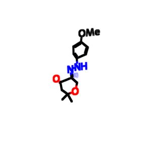 COc1ccc(N/N=C2\COC(C)(C)CC2=O)cc1